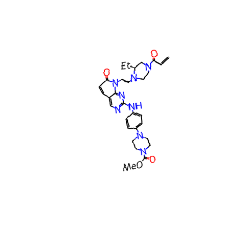 C=CC(=O)N1CCN(CCn2c(=O)ccc3cnc(Nc4ccc(N5CCN(C(=O)OC)CC5)cc4)nc32)[C@@H](CC)C1